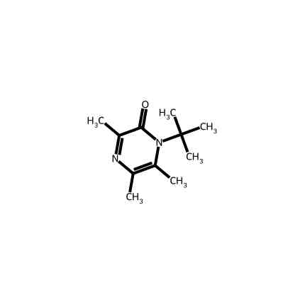 Cc1nc(C)c(=O)n(C(C)(C)C)c1C